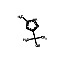 Cc1cc(C(C)(C)O)n[nH]1